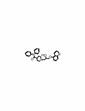 O=C(C1CCN(CC(O)COc2cccc3ncccc23)CC1)N(c1ccccc1)c1ccccc1